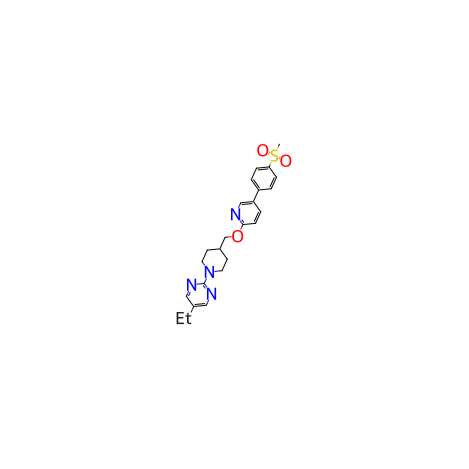 CCc1cnc(N2CCC(COc3ccc(-c4ccc(S(C)(=O)=O)cc4)cn3)CC2)nc1